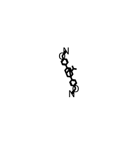 CC(C)C12CC3CC(c4ccc(OC#N)cc4)(CC(c4ccc(OC#N)cc4)(C3)C1)C2